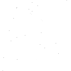 Cc1noc(C2CCC(C(=O)O)CC2)n1